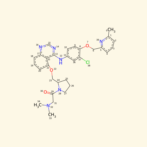 Cc1cccc(COc2ccc(Nc3ncnc4cccc(OCC5CCCN5C(=O)CN(C)C)c34)cc2Cl)n1